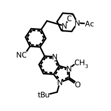 CC(=O)N1CC2CCC1CN2Cc1ccc(C#N)c(-c2ccc3c(n2)n(C)c(=O)n3CC(C)(C)C)c1